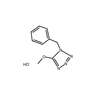 COc1nnnn1Cc1ccccc1.Cl